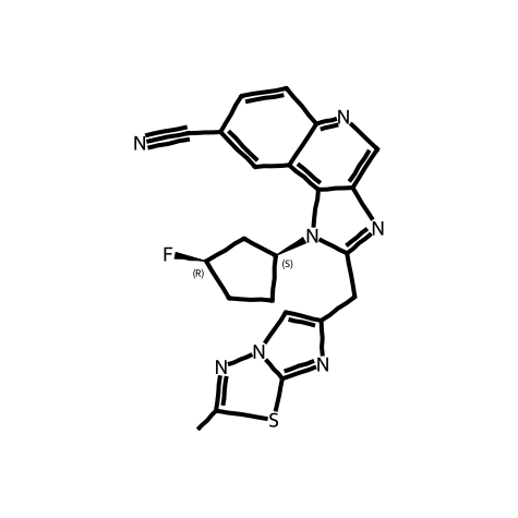 Cc1nn2cc(Cc3nc4cnc5ccc(C#N)cc5c4n3[C@H]3CC[C@@H](F)C3)nc2s1